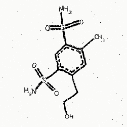 Cc1cc(CCO)c(S(N)(=O)=O)cc1S(N)(=O)=O